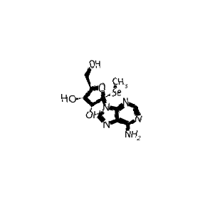 C[Se][C@@]1(n2cnc3c(N)ncnc32)O[C@H](CO)[C@@H](O)[C@H]1O